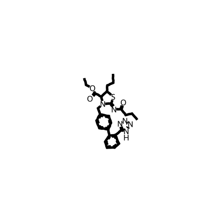 CCCC(=O)N=C1SC(CCC)C(C(=O)OCC)N1Cc1ccc(-c2ccccc2-c2nnn[nH]2)cc1